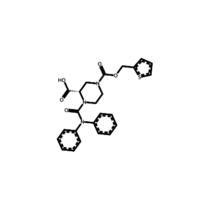 O=C(O)[C@@H]1CN(C(=O)OCc2cccs2)CCN1C(=O)N(c1ccccc1)c1ccccc1